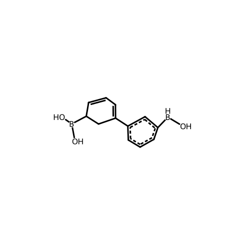 OBc1cccc(C2=CC=CC(B(O)O)C2)c1